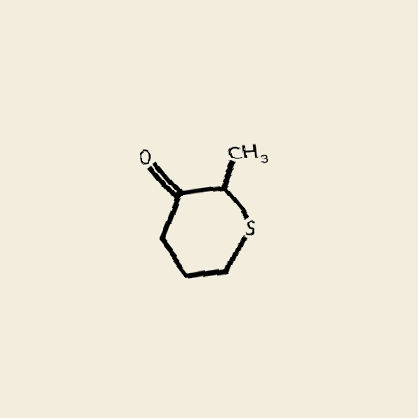 CC1SCCCC1=O